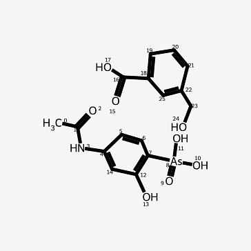 CC(=O)Nc1ccc([As](=O)(O)O)c(O)c1.O=C(O)c1cccc(CO)c1